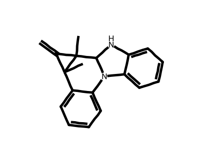 C=C1C2(C)c3ccccc3N3c4ccccc4NC3C12C